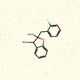 COC1c2ccccc2OC1(Cc1ccccc1F)OC